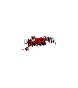 CCc1cc(OCCCCN=[N+]=[N-])ccc1-c1ccc(C[C@H](NC(=O)[C@H](CC(=O)O)NC(=O)[C@H](CO)NC(=O)[C@@H](NC(=O)[C@](C)(Cc2ccccc2F)NC(=O)[C@@H](NC(=O)CNC(=O)[C@H](Cc2nn[nH]n2)NC(=O)C(C)(C)NC(=O)CCCCCCc2c[nH]cn2)[C@@H](C)O)[C@@H](C)O)C(=O)N[C@@H](CCCc2cc(C)cc(C)c2)C(N)=O)cc1